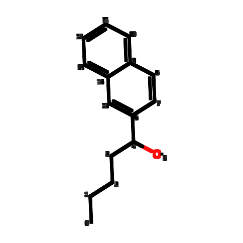 CCCCC([O])c1ccc2ccccc2c1